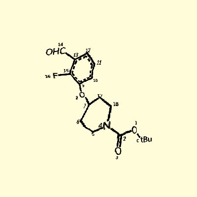 CC(C)(C)OC(=O)N1CCC(Oc2cccc(C=O)c2F)CC1